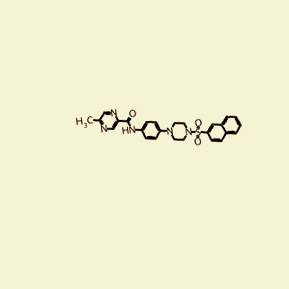 Cc1cnc(C(=O)Nc2ccc(N3CCN(S(=O)(=O)c4ccc5ccccc5c4)CC3)cc2)cn1